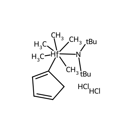 CC(C)(C)[N](C(C)(C)C)[Hf]([CH3])([CH3])([CH3])([CH3])([CH3])[C]1=CC=CC1.Cl.Cl